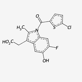 Cc1c(CC(=O)O)c2cc(O)c(F)cc2n1C(=O)c1ccc(Cl)s1